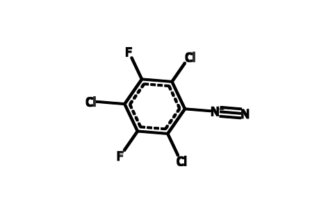 N#[N+]c1c(Cl)c(F)c(Cl)c(F)c1Cl